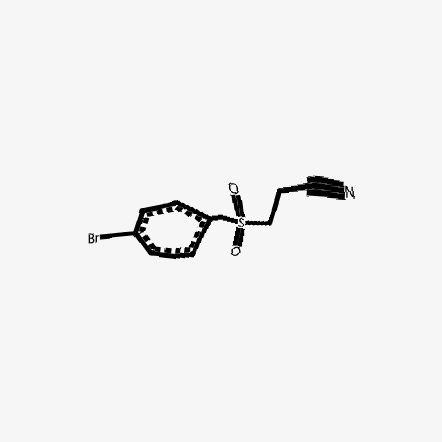 N#CCCS(=O)(=O)c1ccc(Br)cc1